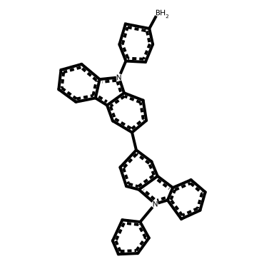 Bc1ccc(-n2c3ccccc3c3cc(-c4ccc5c(c4)c4ccccc4n5-c4ccccc4)ccc32)cc1